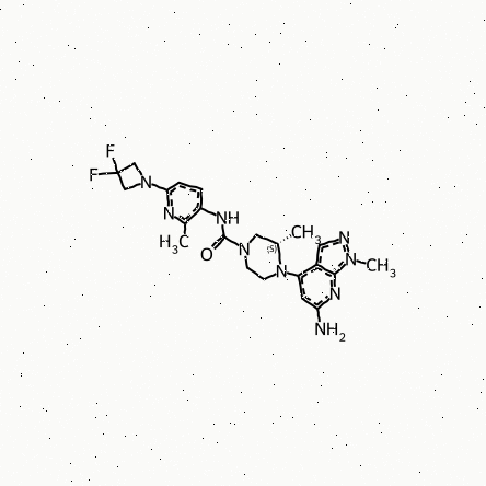 Cc1nc(N2CC(F)(F)C2)ccc1NC(=O)N1CCN(c2cc(N)nc3c2cnn3C)[C@@H](C)C1